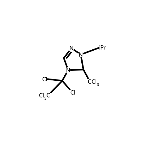 CC(C)N1N=CN(C(Cl)(Cl)C(Cl)(Cl)Cl)C1C(Cl)(Cl)Cl